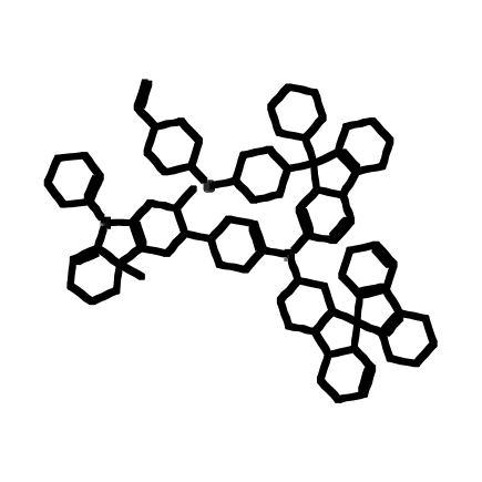 C=CC1CCC(OC2CCC(C3(C4CCCCC4)C4=C(CCCC4)C4C=CC(N(C5=CCC(C6CC7=C(CC6C)N(C6=CCCCC6)C6=CCCCC67C)CC5)C5CCC6C7CCC=CC7C7(C8=C(C=CCC8)C8=C7CCCC8)C6C5)=CC43)CC2)CC1